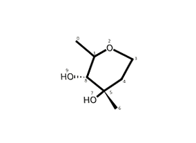 CC1OCC[C@](C)(O)[C@@H]1O